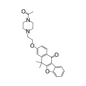 CC(=O)N1CCN(CCOc2ccc3c(c2)C(C)(C)c2oc4ccccc4c2C3=O)CC1